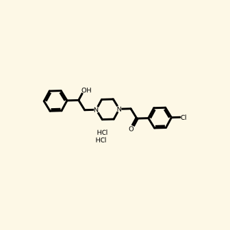 Cl.Cl.O=C(CN1CCN(CC(O)c2ccccc2)CC1)c1ccc(Cl)cc1